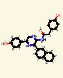 O=C(Cc1ccc(O)cc1)Nc1ncc(-c2ccc(O)cc2)nc1-c1ccc2ccccc2c1